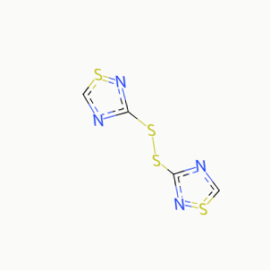 c1nc(SSc2ncsn2)ns1